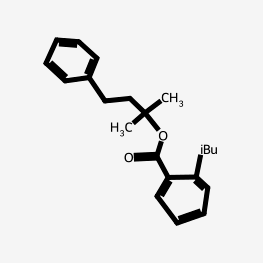 CCC(C)c1ccccc1C(=O)OC(C)(C)CCc1ccccc1